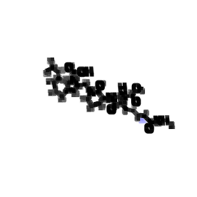 COC(=O)N[C@@H](CC/C=C/C(N)=O)C(=O)Nc1cccn(Cc2cc3cccc(CC(C)C)c3n2C(=O)O)c1=O